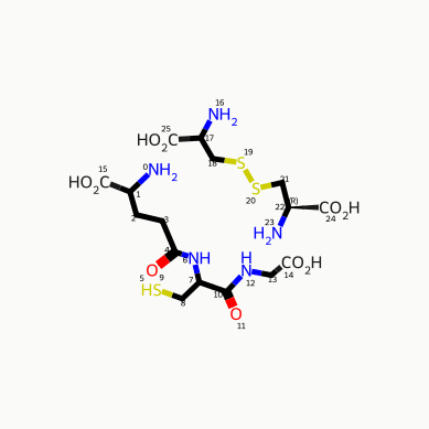 NC(CCC(=O)NC(CS)C(=O)NCC(=O)O)C(=O)O.NC(CSSC[C@H](N)C(=O)O)C(=O)O